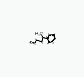 CC(CCC=O)c1[c]cccc1